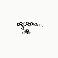 CN1CCN(c2ccc3c(ccc4c5c(ccc43)CC(c3ccc4ccccc4c3N3CCOCC3)CC5)c2)CC1.N=[N+]=N.O=C1C2=CC=C1C=C2